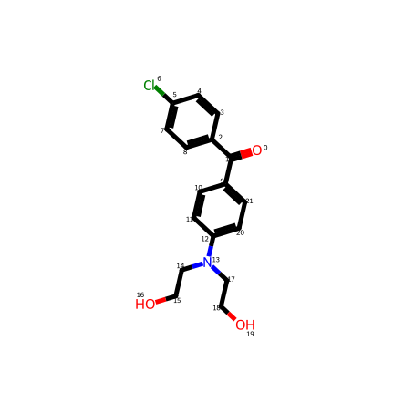 O=C(c1ccc(Cl)cc1)c1ccc(N(CCO)CCO)cc1